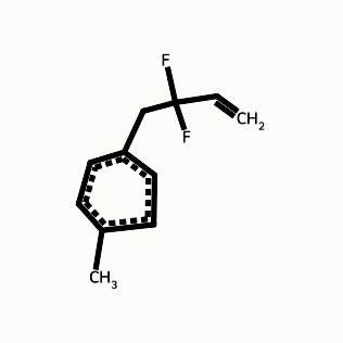 C=CC(F)(F)Cc1ccc(C)cc1